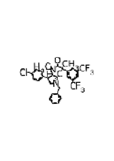 CN(C(=O)C(C)(C)c1cc(C(F)(F)F)cc(C(F)(F)F)c1)[C@@H]1CN(Cc2ccccc2)C[C@H]1c1ccc(Cl)cc1